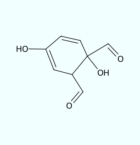 O=CC1C=C(O)C=CC1(O)C=O